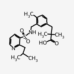 Cc1ccc(CC(C)(C)C(=O)O)cc1CNS(=O)(=O)c1cccnc1CC(C)C